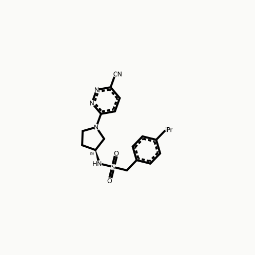 CC(C)c1ccc(CS(=O)(=O)N[C@H]2CCN(c3ccc(C#N)nn3)C2)cc1